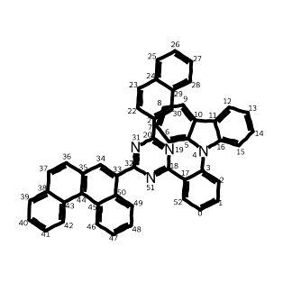 c1ccc(-n2c3ccccc3c3ccccc32)c(-c2nc(-c3ccc4ccccc4c3)nc(-c3cc4ccc5ccccc5c4c4ccccc34)n2)c1